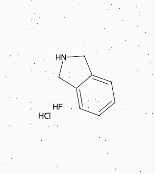 Cl.F.c1ccc2c(c1)CNC2